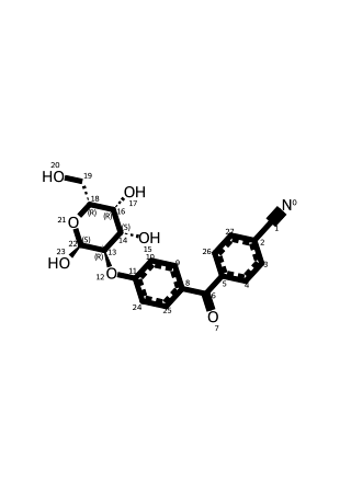 N#Cc1ccc(C(=O)c2ccc(O[C@@H]3[C@@H](O)[C@@H](O)[C@@H](CO)O[C@@H]3O)cc2)cc1